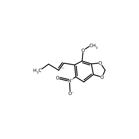 CC/C=C/c1c([N+](=O)[O-])cc2c(c1OC)OCO2